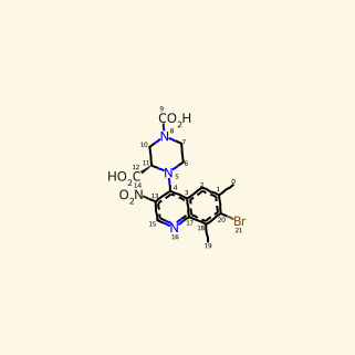 Cc1cc2c(N3CCN(C(=O)O)C[C@@H]3C(=O)O)c([N+](=O)[O-])cnc2c(C)c1Br